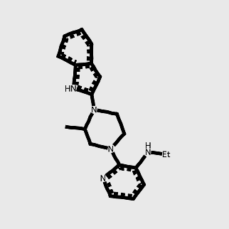 CCNc1cccnc1N1CCN(c2cc3ccccc3[nH]2)C(C)C1